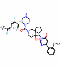 C=C(/C(F)=C\C=C(/C)F)[C@@H]1CNCCN1C(=O)N1CC[C@@](O)(Cn2cnc(-c3ccccc3OC)cc2=O)C2(CCCC2)C1